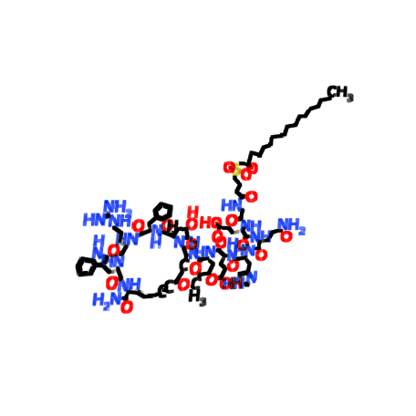 CCCCCCCCCCCCCCCC(=O)CS(=O)(=O)CCCC(=O)NCC(=O)N[C@@H](CCC(=O)O)C(=O)N[C@@H](CCC(N)=O)C(=O)N[C@@H](Cc1c[nH]cn1)C(=O)N[C@@H](CCC(=O)O)C(=O)N[C@@H](CCCC)C(=O)N[C@H]1CCC(=O)CCCCC[C@@H](C(N)=O)NC(=O)[C@H](Cc2c[nH]c3ccccc23)NC(=O)[C@H](CCCNC(=N)N)NC(=O)[C@@H](Cc2ccccc2)NC(=O)[C@@H]2C[C@@H](O)CN2C1=O